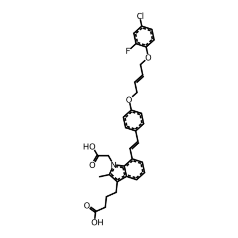 Cc1c(CCCC(=O)O)c2cccc(C=Cc3ccc(OC/C=C/COc4ccc(Cl)cc4F)cc3)c2n1CC(=O)O